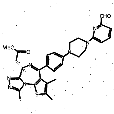 COC(=O)C[C@@H]1N=C(c2ccc(N3CCN(c4cccc(C=O)n4)CC3)cc2)c2c(sc(C)c2C)-n2c(C)nnc21